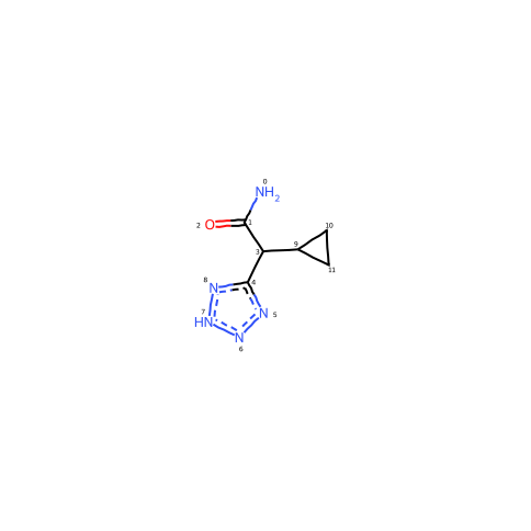 NC(=O)C(c1nn[nH]n1)C1CC1